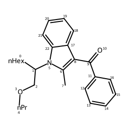 CCCCCCC(COCCC)n1c(C)c(C(=O)c2ccccc2)c2ccccc21